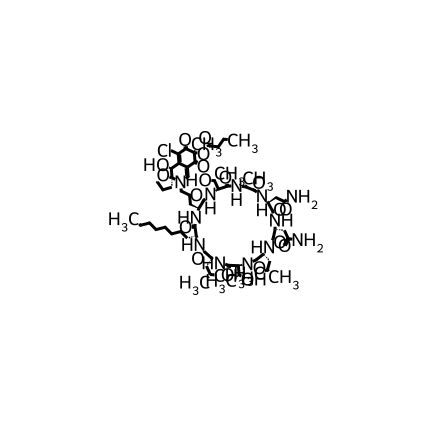 CCCCCCCC[C@H]1NC(=O)[C@@H](CC(C)C)NC(=O)[C@H]([C@@H](C)O)NC(=O)[C@@H](CC(C)C)NC(=O)[C@@H](CC(N)=O)NC(=O)[C@H](CC(N)=O)NC(=O)[C@H](C)NC(=O)[C@H]([C@@H](C)O)NC(=O)[C@H](CCCN2C=C3C(=O)[C@](C)(OC(=O)CCC)C(=O)C(Cl)=C3[C@H](O)[C@@]23CCCO3)NC1=O